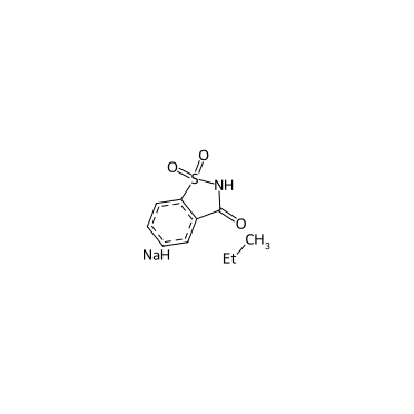 CCC.O=C1NS(=O)(=O)c2ccccc21.[NaH]